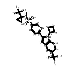 O=S(=O)(NC1(C(F)(F)F)CC1)c1ccc(-c2cc3cc(C(F)(F)F)cnc3n2C2CCC2)nc1